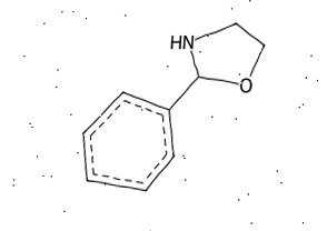 c1ccc(C2NCCO2)cc1